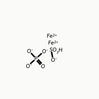 O=P([O-])([O-])[O-].O=S(=O)([O-])O.[Fe+2].[Fe+2]